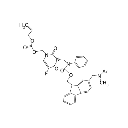 C=CCOC(=O)OCn1cc(F)c(=O)n(CN(C(=O)OCC2c3ccccc3-c3ccc(CN(C)C(C)=O)cc32)c2ccccc2)c1=O